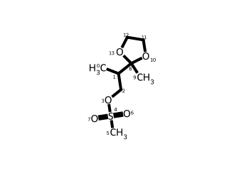 CC(COS(C)(=O)=O)C1(C)OCCO1